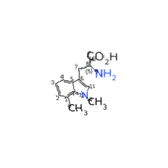 Cc1cccc2c(C[C@H](N)C(=O)O)cn(C)c12